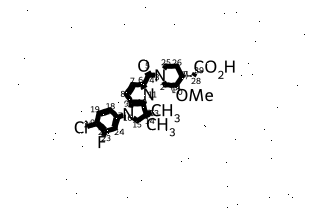 CO[C@@H]1CN(C(=O)c2ccc3c(n2)C(C)(C)CN3c2ccc(Cl)c(F)c2)CC[C@@H]1CC(=O)O